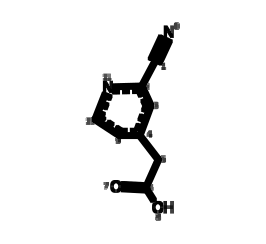 N#Cc1cc(CC(=O)O)ccn1